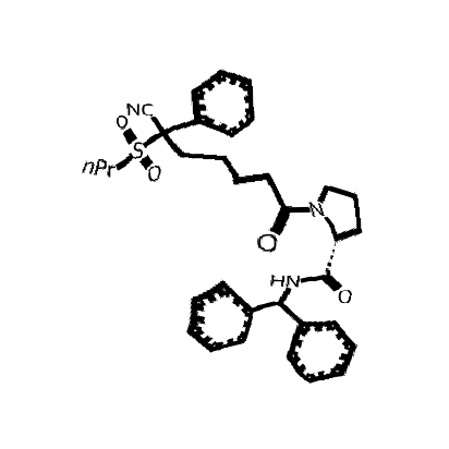 CCCS(=O)(=O)C(C#N)(CCCCC(=O)N1CCC[C@@H]1C(=O)NC(c1ccccc1)c1ccccc1)c1ccccc1